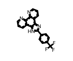 FC(F)(F)c1ccc(-c2nc3c4cccnc4c4ncccc4c3[nH]2)cc1